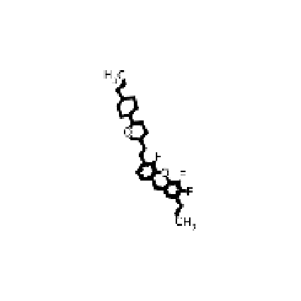 CCCc1cc2c(c(F)c1F)Oc1c(ccc(CCC3CCC(C4CCC(CCC)CC4)OC3)c1F)C2